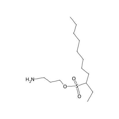 CCCCCCCCC(CC)S(=O)(=O)OCCCN